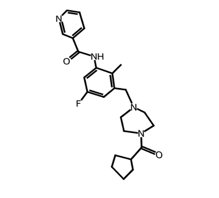 Cc1c(CN2CCN(C(=O)C3CCCC3)CC2)cc(F)cc1NC(=O)c1cccnc1